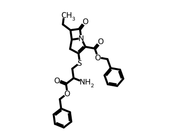 CCC1C(=O)N2C(C(=O)OCc3ccccc3)=C(SCC(N)C(=O)OCc3ccccc3)CC12